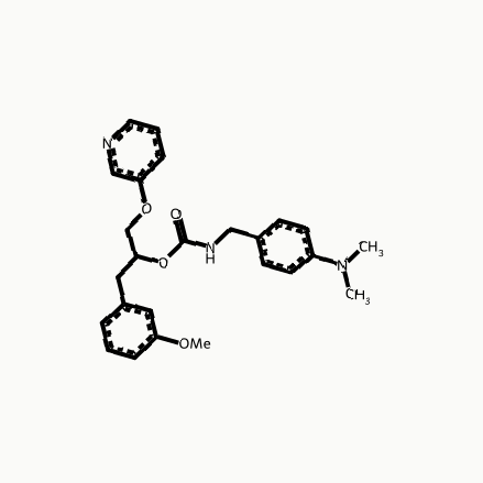 COc1cccc(CC(COc2cccnc2)OC(=O)NCc2ccc(N(C)C)cc2)c1